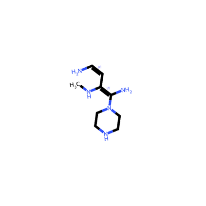 CNC(/C=C\N)=C(/N)N1CCNCC1